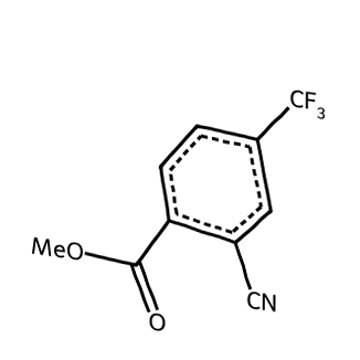 COC(=O)c1ccc(C(F)(F)F)cc1C#N